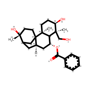 C[C@]1(CO)C2[C@H](OC(=O)c3ccccc3)C[C@H]3CC4CC3(CC[C@@]4(C)O)[C@@]2(C)CC[C@H]1O